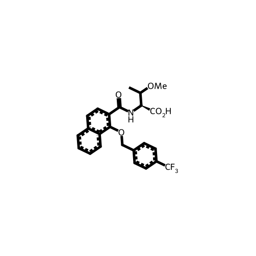 COC(C)[C@H](NC(=O)c1ccc2ccccc2c1OCc1ccc(C(F)(F)F)cc1)C(=O)O